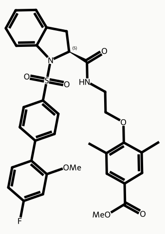 COC(=O)c1cc(C)c(OCCNC(=O)[C@@H]2Cc3ccccc3N2S(=O)(=O)c2ccc(-c3ccc(F)cc3OC)cc2)c(C)c1